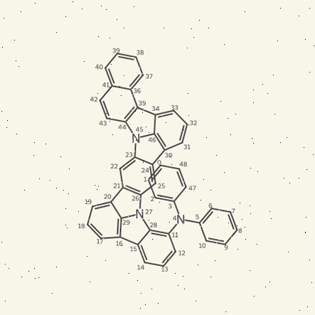 c1ccc(N(c2ccccc2)c2cccc3c4cccc5c6cc7c(cc6n(c23)c54)c2cccc3c4c5ccccc5ccc4n7c23)cc1